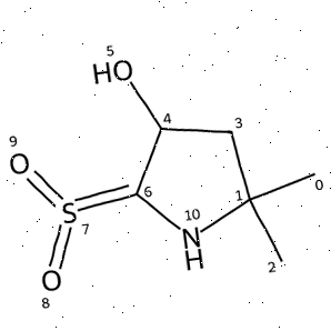 CC1(C)CC(O)C(=S(=O)=O)N1